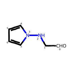 O=CCNn1cccc1